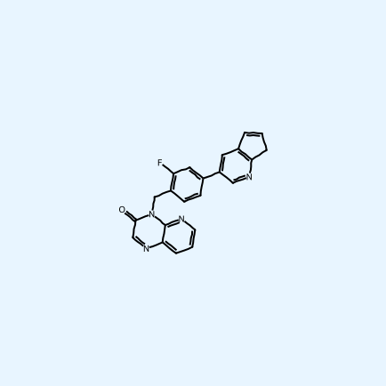 O=c1cnc2cccnc2n1Cc1ccc(-c2cnc3c(c2)C=CC3)cc1F